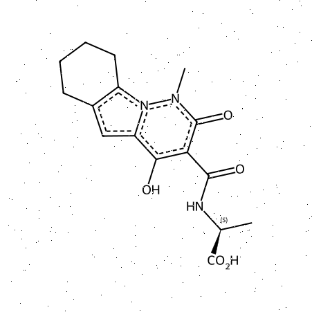 C[C@H](NC(=O)c1c(O)c2cc3c(n2n(C)c1=O)CCCC3)C(=O)O